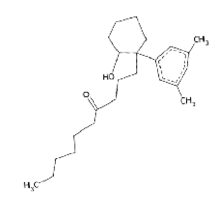 CCCCCCC(=O)CCCC1(c2cc(C)cc(C)c2)CCCCC1O